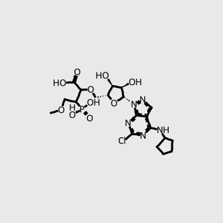 COCC(C(OC[C@H]1O[C@@H](n2ncc3c(NC4CCCC4)nc(Cl)nc32)[C@H](O)[C@@H]1O)C(=O)O)P(=O)(O)O